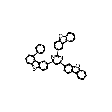 c1ccc(-c2cccc3sc4ccc(-c5cc(-c6ccc7c(c6)oc6ccccc67)nc(-c6ccc7oc8ccccc8c7c6)n5)cc4c23)cc1